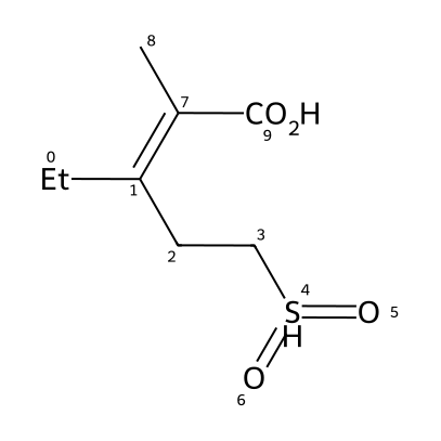 CCC(CC[SH](=O)=O)=C(C)C(=O)O